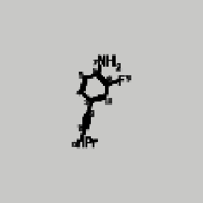 CCCC#Cc1ccc(N)c(F)c1